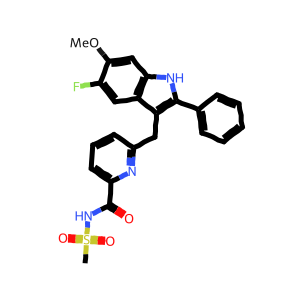 COc1cc2[nH]c(-c3ccccc3)c(Cc3cccc(C(=O)NS(C)(=O)=O)n3)c2cc1F